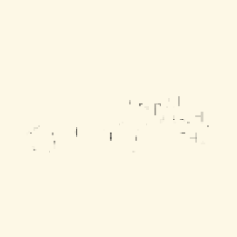 CC(C)(C)CC(C(=O)O)C(=O)CC(=O)COCc1ccccc1